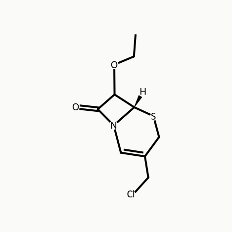 CCOC1C(=O)N2C=C(CCl)CS[C@@H]12